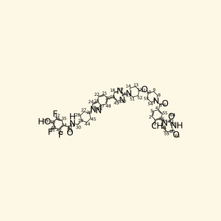 Cc1ccc(C(=O)N2CCC(OC3CCN(c4ncc(-c5ccc6cn([C@H]7CC[C@H](CNC(=O)c8cc(F)c(O)c(F)c8F)CC7)nc6c5)cn4)CC3)CC2)cc1N1CCC(=O)NC1=O